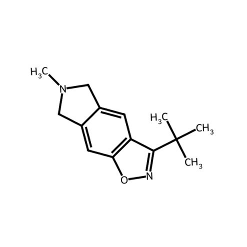 CN1Cc2cc3onc(C(C)(C)C)c3cc2C1